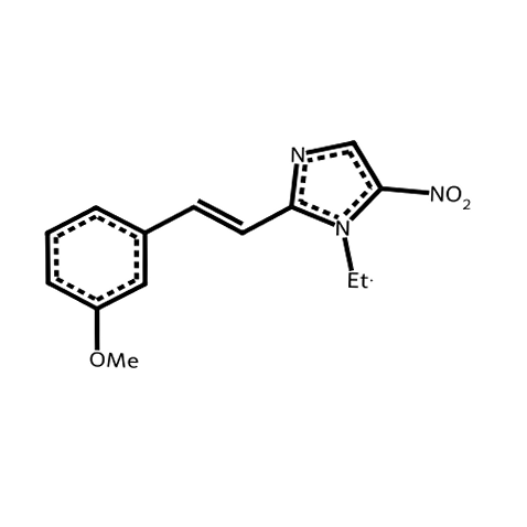 C[CH]n1c([N+](=O)[O-])cnc1/C=C/c1cccc(OC)c1